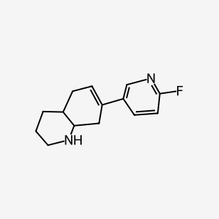 Fc1ccc(C2=CCC3CCCNC3C2)cn1